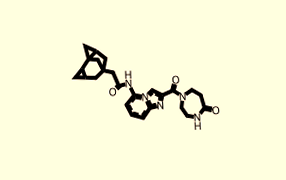 O=C1CCN(C(=O)c2cn3c(NC(=O)CC45CC6CC6C6(CC6C4)C5)cccc3n2)CCN1